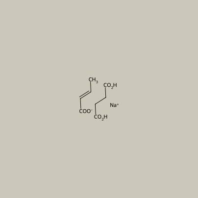 CC=CC(=O)[O-].O=C(O)CCC(=O)O.[Na+]